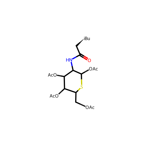 CC[C@H](C)CC(=O)NC1C(OC(C)=O)SC(COC(C)=O)C(OC(C)=O)C1OC(C)=O